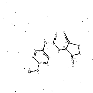 CCOc1ccc(OC(=O)ON2C(=O)CCC2=O)cc1